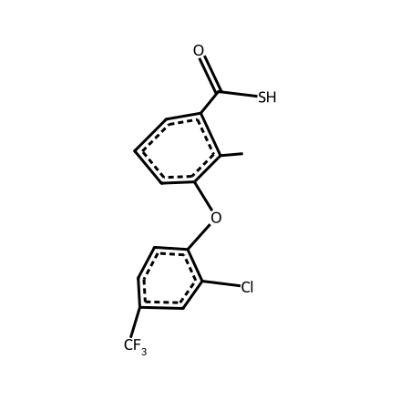 Cc1c(Oc2ccc(C(F)(F)F)cc2Cl)cccc1C(=O)S